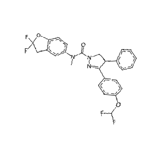 CN(C(=O)N1CC(c2ccccc2)C(c2ccc(OC(F)F)cc2)=N1)c1ccc2c(c1)CC(F)(F)O2